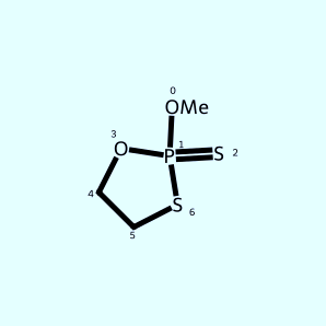 COP1(=S)OCCS1